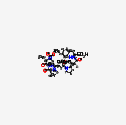 CC[C@H](C)[C@@H]([C@@H](CC(=O)N1CCC[C@H]1[C@H](OC)[C@@H](C)C(=O)N[C@@H](Cc1ccccc1)C(=O)O)OC)N(C)[C@H](C(=O)NC(=O)[C@H](C(C)C)N(C)C(=O)OC(C)(C)C)C(C)C